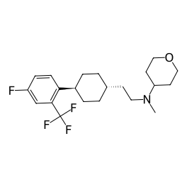 CN(CC[C@H]1CC[C@H](c2ccc(F)cc2C(F)(F)F)CC1)C1CCOCC1